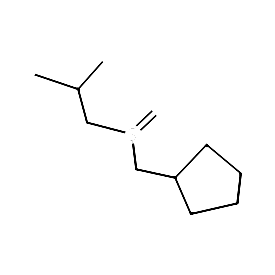 C=S(CC(C)C)CC1CCCC1